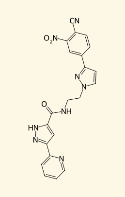 N#Cc1ccc(-c2ccn(CCNC(=O)c3cc(-c4ccccn4)n[nH]3)n2)cc1[N+](=O)[O-]